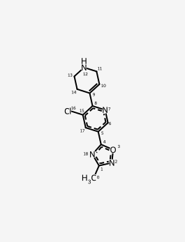 Cc1noc(-c2cnc(C3=CCNCC3)c(Cl)c2)n1